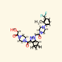 Cc1c(C(F)F)cccc1N1CCN(C(=O)Cn2nc(C(=O)N3CCN(C(=O)CO)CC3)c3c2C[C@H]2C[C@@H]32)CC1